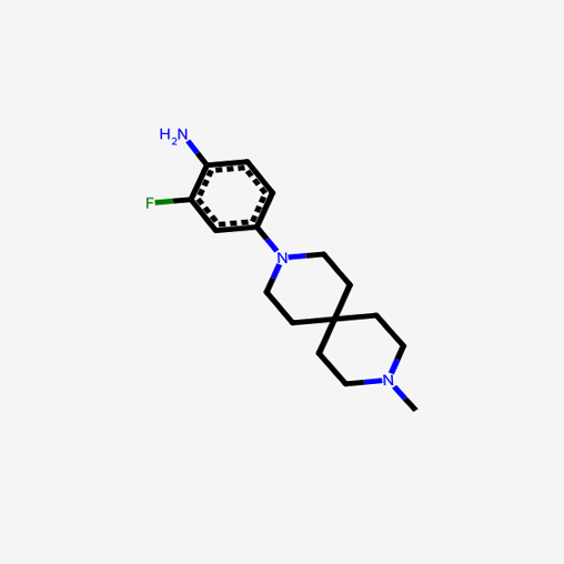 CN1CCC2(CC1)CCN(c1ccc(N)c(F)c1)CC2